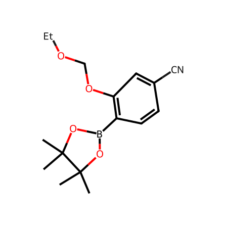 CCOCOc1cc(C#N)ccc1B1OC(C)(C)C(C)(C)O1